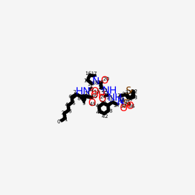 CCCCCC/C=C\C1C[C@]1(NC(=O)[C@@H]1CCCN1C(=O)CNC(=O)NC(CN1Cc2sccc2S1(=O)=O)C1CCCCC1)C(=O)O